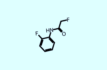 O=C(CF)Nc1ccccc1F